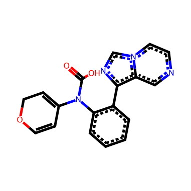 O=C(O)N(C1=CCOC=C1)c1ccccc1-c1ncn2ccncc12